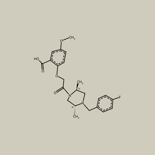 COc1ccc(OCC(=O)N2C[C@@H](C)N(Cc3ccc(F)cc3)C[C@@H]2C)c(C(=O)O)c1